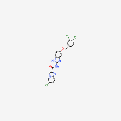 O=C(Nc1nc2cc(OCc3ccc(Cl)c(Cl)c3)ccc2[nH]1)c1cn2cc(Cl)ccc2n1